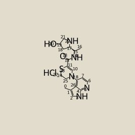 Cc1c[nH]c2nccc(N3C=C(C(=O)NC(C)[C@H]4C[C@@H](O)CN4)SCC3)c12.Cl